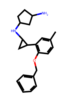 Cc1ccc(OCc2ccccc2)c(C2CC2NC2CCC(N)C2)c1